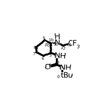 CC(C)(C)NC(=O)NC1CCCC[C@H]1NCC(F)(F)F